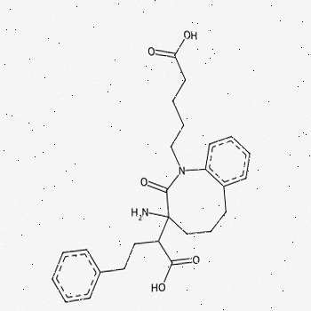 NC1(C(CCc2ccccc2)C(=O)O)CCCc2ccccc2N(CCCCC(=O)O)C1=O